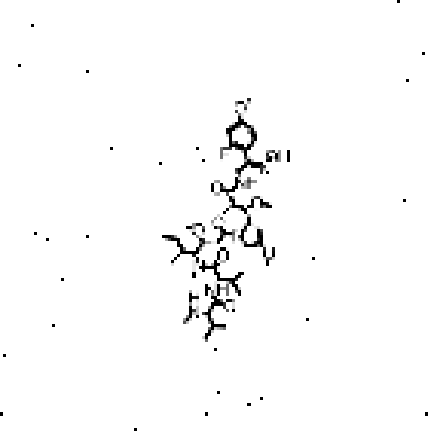 CC[C@H](C)[C@@H]([C@@H](CC(=O)N1C[C@H](OC)C[C@H]1[C@H](OC)[C@@H](C)C(=O)NC/C(=N/O)c1ccc(OC)cc1F)OC)N(C)C(=O)[C@@H](NC(=O)[C@@H](NC)C(C)C)C(C)C